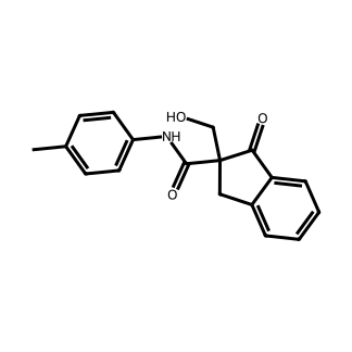 Cc1ccc(NC(=O)C2(CO)Cc3ccccc3C2=O)cc1